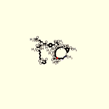 COc1cc(NC(=O)[C@H](CCCNC(N)=O)NC(=O)[C@@H](NC(=O)CCCCC(=O)ON2C(=O)CCC2=O)C(C)C)ccc1C(=O)N(C)[C@@H](C)C(=O)O[C@H]1CC(=O)N(C)c2cc(cc(OC)c2Cl)C/C(C)=C/C=C/[C@@H](OC)[C@@]2(O)C[C@H](OC(=O)N2)[C@@H](C)[C@@H]2O[C@@]12C